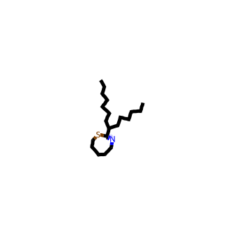 CCCCCCCC(CCCCCC)/C1=N/CCCCCS1